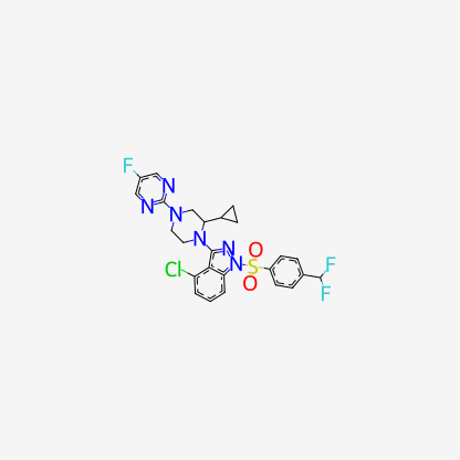 O=S(=O)(c1ccc(C(F)F)cc1)n1nc(N2CCN(c3ncc(F)cn3)CC2C2CC2)c2c(Cl)cccc21